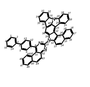 c1ccc(-c2ccc(-c3nc(-n4c5ccc6ccccc6c5c5c6c7ccccc7n7c8ccccc8c(cc54)c67)nc4ccc5ccccc5c34)cc2)cc1